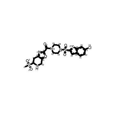 CS(=O)(=O)C1Cc2nc(C(=O)N3CCN(S(=O)(=O)c4cc5ccc(Cl)cc5s4)CC3)oc2CN1